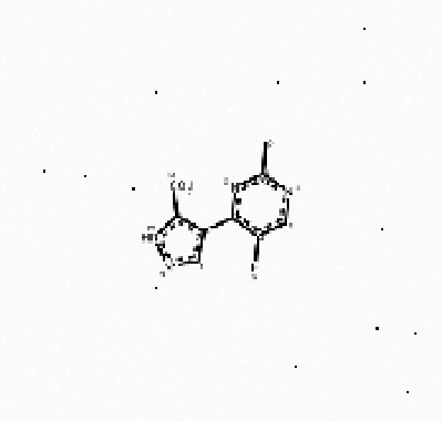 Cc1ncc(F)c(-c2cn[nH]c2C(=O)O)n1